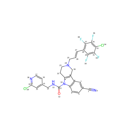 N#Cc1ccc2c(c1)c1c(n2C(=O)NCc2ccnc(Cl)c2)CCN(CC=Cc2c(F)c(F)c(Cl)c(F)c2F)C1